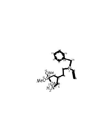 C=CN(CCC(CN)C[Si](OC)(OC)OC)Cc1ccccc1